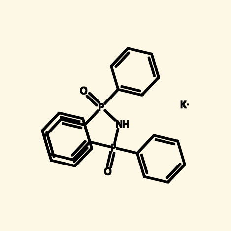 O=P(NP(=O)(c1ccccc1)c1ccccc1)(c1ccccc1)c1ccccc1.[K]